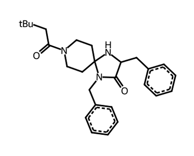 CC(C)(C)CC(=O)N1CCC2(CC1)NC(Cc1ccccc1)C(=O)N2Cc1ccccc1